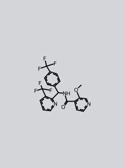 COc1cnccc1C(=O)NC(c1ccc(C(F)(F)F)cc1)c1ncccc1C(F)(F)F